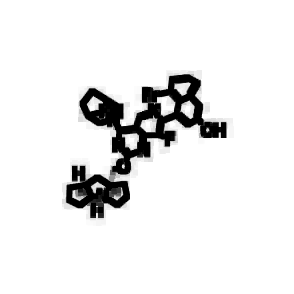 Oc1cc(-c2ncc3c(N4CC5CCC(C4)N5)nc(OC[C@]45CCCN4[C@H]4CCC[C@H]4C5)nc3c2F)c2c(Br)cccc2c1